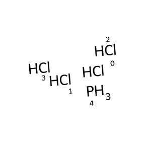 Cl.Cl.Cl.Cl.P